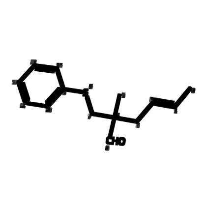 C/C=C/CC(C)(C=O)CSc1ccccc1